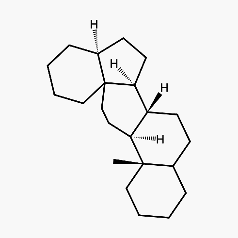 C[C@]12CCCCC1CC[C@H]1[C@@H]3CC[C@@H]4CCCCC43CC[C@@H]12